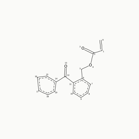 C=CC(=O)OCc1ccccc1C(=O)c1ccccc1